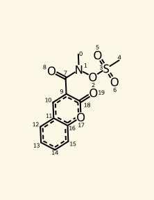 CN(OS(C)(=O)=O)C(=O)c1cc2ccccc2oc1=O